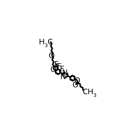 CCCCCCOCCCCC1Oc2ccc(-c3ncc(-c4ccc(OC(=O)CCCCC)cc4)cn3)c(F)c2C1(F)F